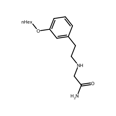 CCCCCCOc1cccc(CCNCC(N)=O)c1